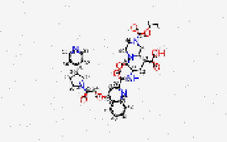 CCOC(=O)N1CCN(C(=O)C(CCC(=O)O)NC(=O)c2cc(OCC(=O)N3CCC(c4ccncc4)C3)c3ccccc3n2)CC1